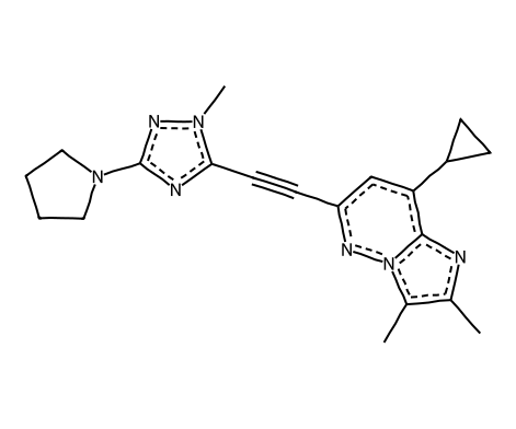 Cc1nc2c(C3CC3)cc(C#Cc3nc(N4CCCC4)nn3C)nn2c1C